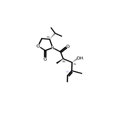 C/C=C(\C)[C@@H](O)[C@@H](C)C(=O)N1C(=O)OC[C@@H]1C(C)C